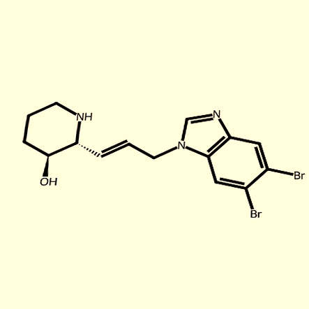 O[C@H]1CCCN[C@@H]1/C=C/Cn1cnc2cc(Br)c(Br)cc21